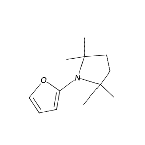 CC1(C)CCC(C)(C)N1c1ccco1